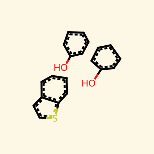 Oc1ccccc1.Oc1ccccc1.c1ccc2sccc2c1